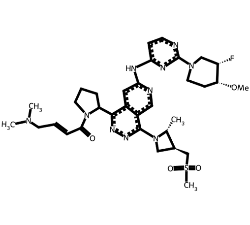 CO[C@@H]1CCN(c2nccc(Nc3cc4c(C5CCCN5C(=O)/C=C/CN(C)C)nnc(N5C[C@H](CS(C)(=O)=O)[C@H]5C)c4cn3)n2)C[C@@H]1F